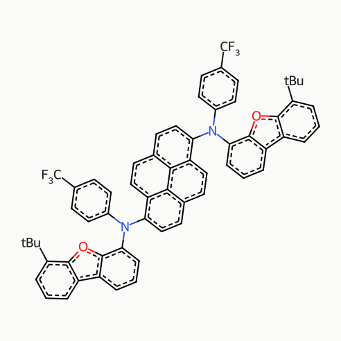 CC(C)(C)c1cccc2c1oc1c(N(c3ccc(C(F)(F)F)cc3)c3ccc4ccc5c(N(c6ccc(C(F)(F)F)cc6)c6cccc7c6oc6c(C(C)(C)C)cccc67)ccc6ccc3c4c65)cccc12